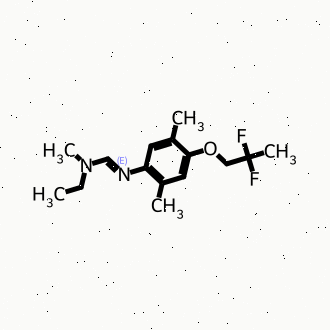 CCN(C)/C=N/c1cc(C)c(OCC(C)(F)F)cc1C